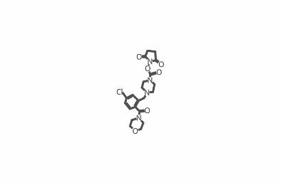 O=C(ON1C(=O)CCC1=O)N1CCN(Cc2cc(Cl)ccc2C(=O)N2CCOCC2)CC1